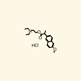 CCN(CC)CCOC(=O)C(C)c1ccc2cc(OC)ccc2c1.Cl